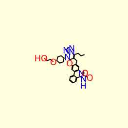 CCCc1c(Cc2ccc(-c3ccccc3-c3noc(=O)[nH]3)cc2)c(=O)n([C@H]2CC[C@H](OCCO)CC2)c2ncnn12